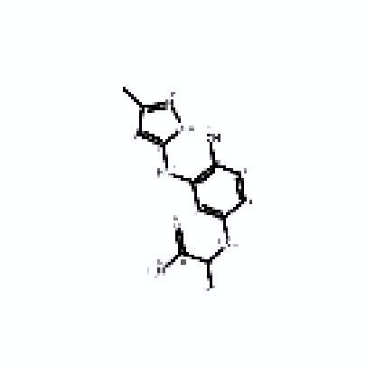 Cc1cc(Nc2cc(NC(C)C(N)=O)ccc2C#N)sn1